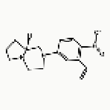 C=Cc1cc(N2CCN3CCC[C@@H]3C2)ccc1[N+](=O)[O-]